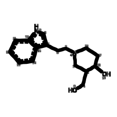 OCC1CN(CCc2c[nH]c3ccccc23)CCC1O